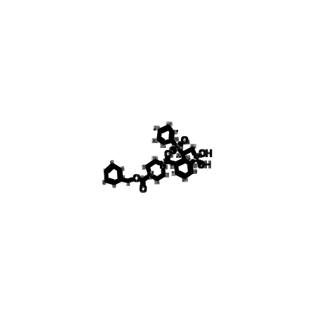 O=C(OCc1ccccc1)N1CCN(C(=O)c2cccc3c2C(S(=O)(=O)c2ccccc2)CS3(O)O)CC1